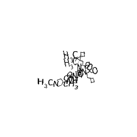 CCN1CCC(C(C)(C)NC(=O)NCC(=O)N2C[C@]3(C[C@H]2C(=O)NC(CC2CCC2)C(=O)C=O)C(C)(C)C32CCC2)CC1